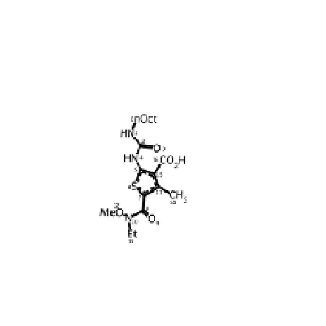 CCCCCCCCNC(=O)Nc1sc(C(=O)N(CC)OC)c(C)c1C(=O)O